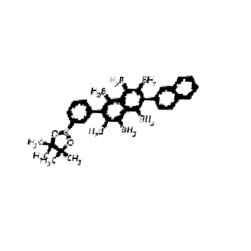 Bc1c(-c2ccc3ccccc3c2)c(B)c2c(B)c(B)c(-c3cccc(B4OC(C)(C)C(C)(C)O4)c3)c(B)c2c1B